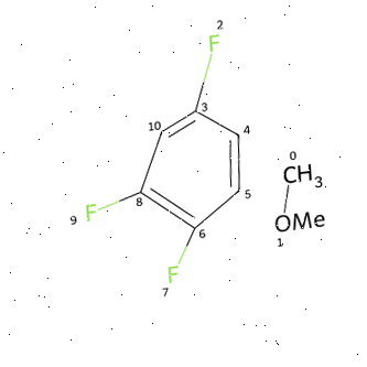 COC.Fc1ccc(F)c(F)c1